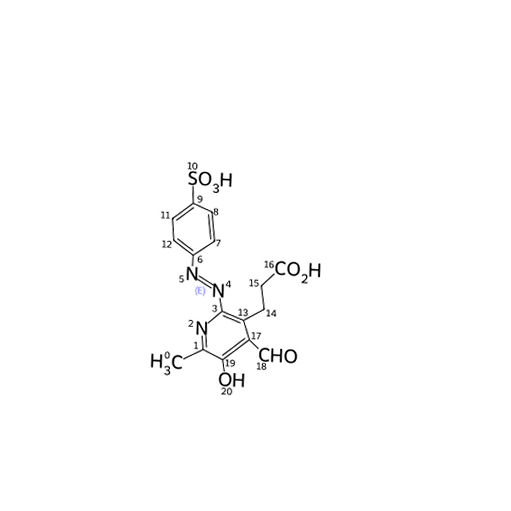 Cc1nc(/N=N/c2ccc(S(=O)(=O)O)cc2)c(CCC(=O)O)c(C=O)c1O